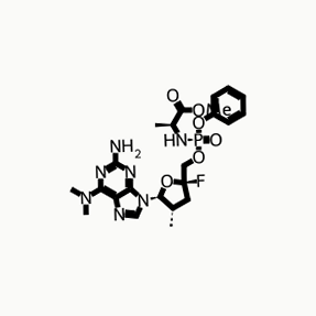 COC(=O)[C@H](C)N[P@](=O)(OC[C@]1(F)C[C@H](C)[C@H](n2cnc3c(N(C)C)nc(N)nc32)O1)Oc1ccccc1